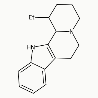 CCC1CCCN2CCc3c([nH]c4ccccc34)C12